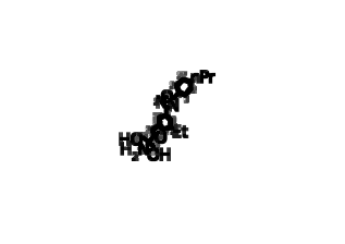 CCCc1ccc(-c2nc(-c3cc(CC)c4oc(C(N)(CO)CO)cc4c3)no2)cc1